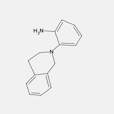 Nc1ccccc1N1CCc2ccccc2C1